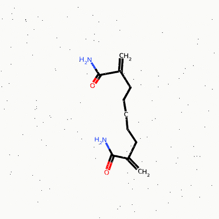 C=C(CCCCCC(=C)C(N)=O)C(N)=O